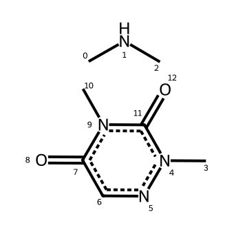 CNC.Cn1ncc(=O)n(C)c1=O